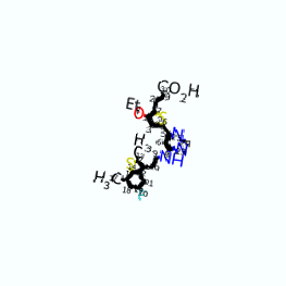 CCOc1cc(-c2cc(NCCc3c(C)sc4c(C)cc(F)cc34)ncn2)sc1/C=C/C(=O)O